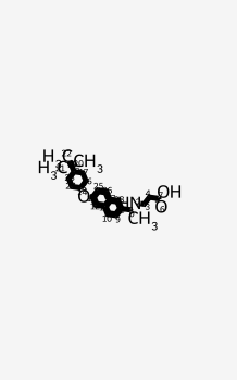 CC(NCCC(=O)O)c1ccc2cc(OC3CCC(C(C)(C)C)CC3)ccc2c1